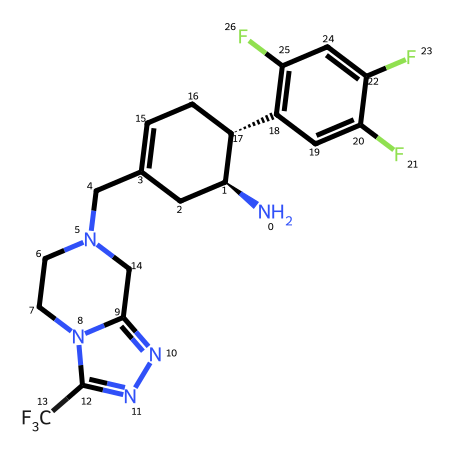 N[C@H]1CC(CN2CCn3c(nnc3C(F)(F)F)C2)=CC[C@@H]1c1cc(F)c(F)cc1F